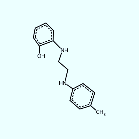 Cc1ccc(NCCNc2ccccc2O)cc1